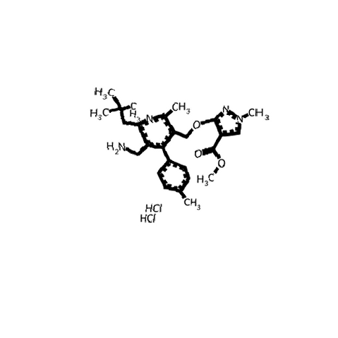 COC(=O)c1cn(C)nc1OCc1c(C)nc(CC(C)(C)C)c(CN)c1-c1ccc(C)cc1.Cl.Cl